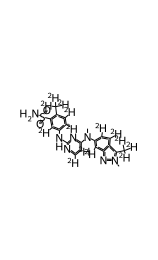 [2H]c1nc(Nc2c([2H])c([2H])c(C([2H])([2H])[2H])c(S(N)(=O)=O)c2[2H])nc(N(C)c2c([2H])c([2H])c3c(C([2H])([2H])[2H])n(C)nc3c2[2H])c1[2H]